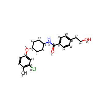 N#Cc1ccc(O[C@H]2CC[C@H](NC(=O)c3ccc(CCO)cc3)CC2)cc1Cl